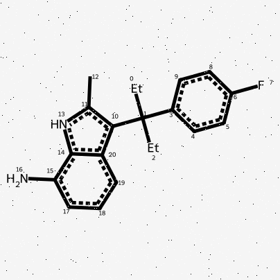 CCC(CC)(c1ccc(F)cc1)c1c(C)[nH]c2c(N)cccc12